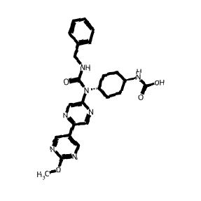 COc1ncc(-c2cnc(N(C(=O)NCc3ccccc3)[C@H]3CC[C@H](NC(=O)O)CC3)cn2)cn1